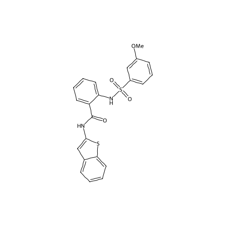 COc1cccc(S(=O)(=O)Nc2ccccc2C(=O)Nc2cc3ccccc3s2)c1